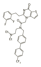 CCN(CC)CCN(Cc1ccc(-c2ccc(C(F)(F)F)cc2)cc1)C(=O)Cn1c(CCc2cccc(F)c2F)nc(=O)c2sccc21